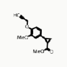 C#CCOc1ccc(C2CC2C(=O)OC)cc1OC